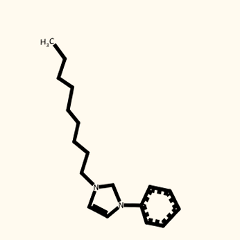 CCCCCCCCCN1C=CN(c2ccccc2)C1